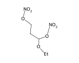 CCOC(CCO[N+](=O)[O-])O[N+](=O)[O-]